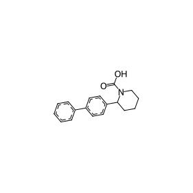 O=C(O)N1CCCCC1c1ccc(-c2ccccc2)cc1